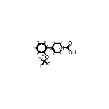 O=C(O)N1CC=C(c2ccccc2OC(F)(F)F)CC1